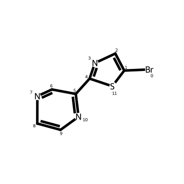 Brc1cnc(-c2cnccn2)s1